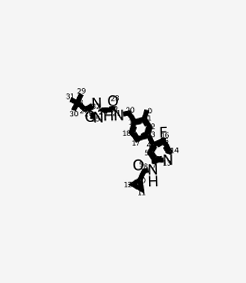 Cc1cc(-c2cc(NC(=O)C3CC3)ncc2F)ccc1CNC(=O)c1noc(C(C)(C)C)n1